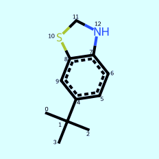 CC(C)(C)c1ccc2c(c1)SCN2